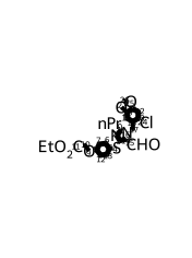 CCCc1nc(Sc2ccc(OCC(=O)OCC)cc2)c(C=O)n1Cc1cc2c(cc1Cl)OCO2